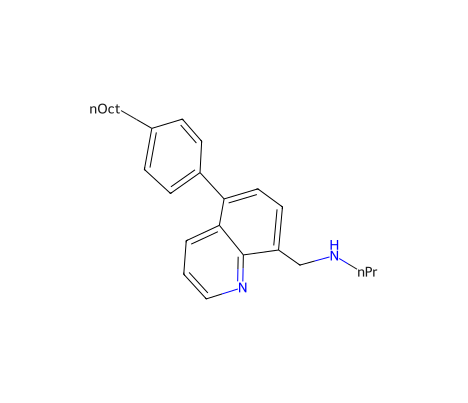 [CH2]CCNCc1ccc(-c2ccc(CCCCCCCC)cc2)c2cccnc12